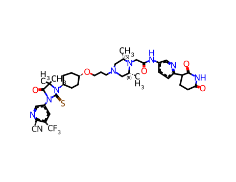 C[C@@H]1CN(CCCO[C@H]2CC[C@H](N3C(=S)N(c4cnc(C#N)c(C(F)(F)F)c4)C(=O)C3(C)C)CC2)C[C@H](C)N1CC(=O)Nc1ccc(C2CCC(=O)NC2=O)nc1